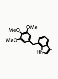 COc1cc(Cc2cccc3[c]c[nH]c23)cc(OC)c1OC